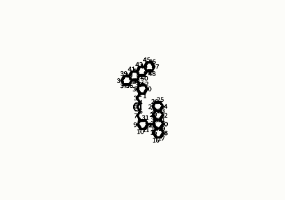 c1cc(CCOCCc2cccc(-c3c4ccccc4cc4cc5ccccc5cc34)c2)cc(-c2c3ccccc3cc3cc4ccccc4cc23)c1